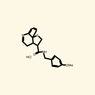 COc1ccc(CNC(=O)C2CSC34CC=CC=C3N=CCC24)cc1.Cl